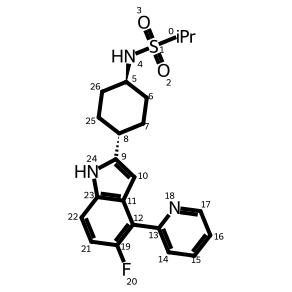 CC(C)S(=O)(=O)N[C@H]1CC[C@H](c2cc3c(-c4ccccn4)c(F)ccc3[nH]2)CC1